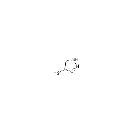 SC1C=NNC1